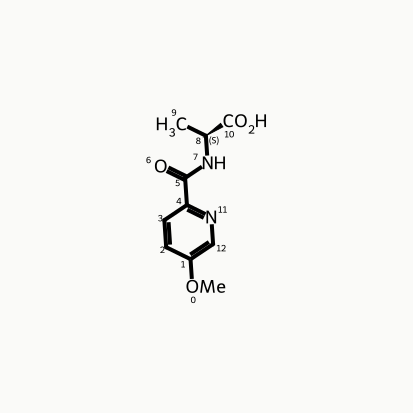 COc1ccc(C(=O)N[C@@H](C)C(=O)O)nc1